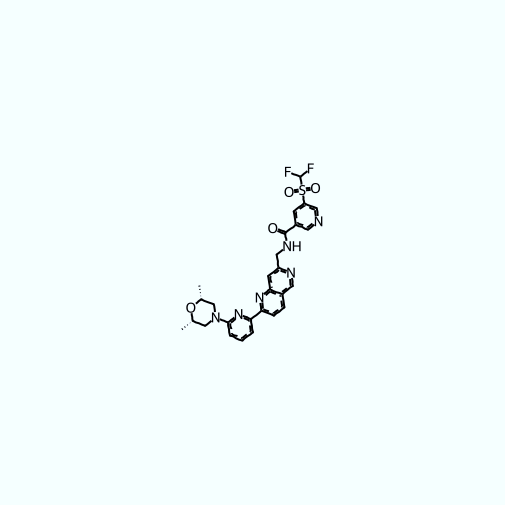 C[C@@H]1CN(c2cccc(-c3ccc4cnc(CNC(=O)c5cncc(S(=O)(=O)C(F)F)c5)cc4n3)n2)C[C@H](C)O1